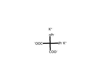 CCCC(C(=O)[O-])(C(=O)[O-])C(C)C.[K+].[K+]